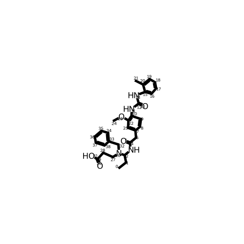 CCC(NC(=O)Cc1ccc(NC(=O)Nc2ccccc2C)c(OC)c1)N(CCC(=O)O)Cc1ccccc1